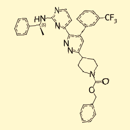 C[C@H](Nc1nccc(-c2nnc(C3CCN(C(=O)OCc4ccccc4)CC3)cc2-c2cccc(C(F)(F)F)c2)n1)c1ccccc1